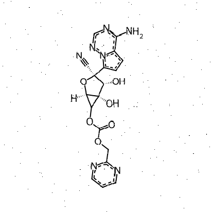 N#C[C@@]1(c2ccc3c(N)ncnn23)O[C@@H]2C(OC(=O)OCc3ncccn3)[C@]2(O)[C@H]1O